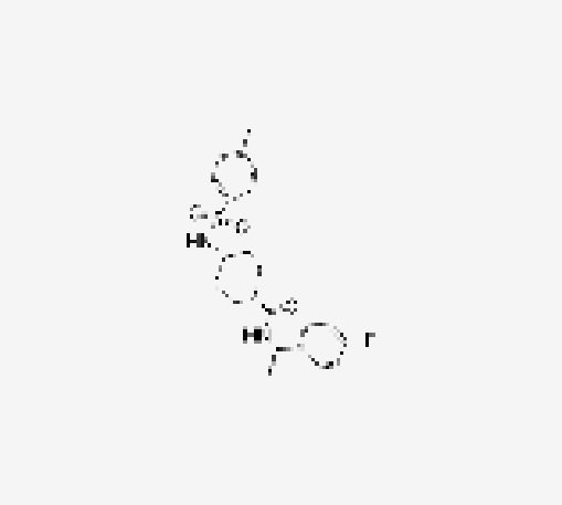 Cc1ccc(S(=O)(=O)N[C@H]2CC[C@H](C(=O)N[C@H](C)c3ccc(F)cc3)CC2)cc1